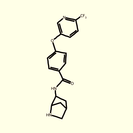 O=C(NC1CC2CNC1C2)c1ccc(Oc2ccc(C(F)(F)F)nc2)cc1